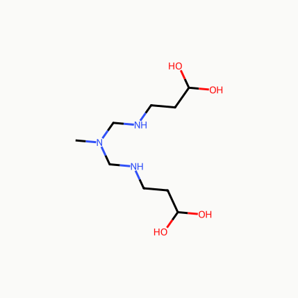 CN(CNCCC(O)O)CNCCC(O)O